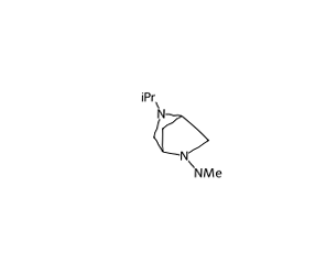 CNN1CC2CC1CN2C(C)C